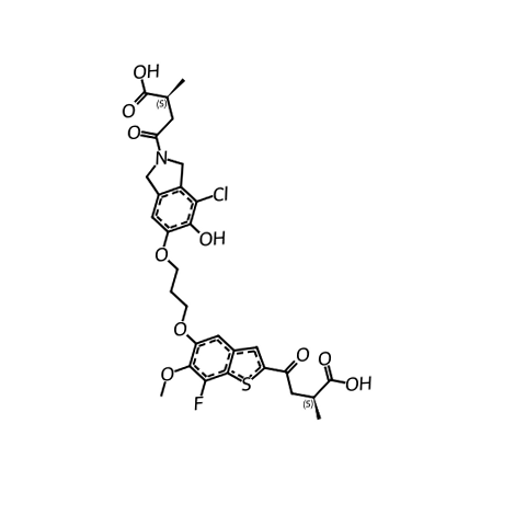 COc1c(OCCCOc2cc3c(c(Cl)c2O)CN(C(=O)C[C@H](C)C(=O)O)C3)cc2cc(C(=O)C[C@H](C)C(=O)O)sc2c1F